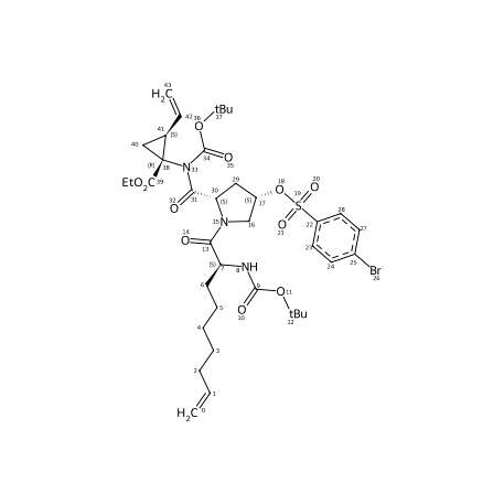 C=CCCCCC[C@H](NC(=O)OC(C)(C)C)C(=O)N1C[C@@H](OS(=O)(=O)c2ccc(Br)cc2)C[C@H]1C(=O)N(C(=O)OC(C)(C)C)[C@]1(C(=O)OCC)C[C@H]1C=C